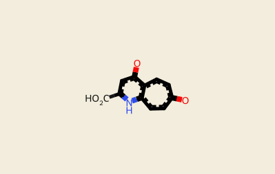 O=C(O)c1cc(=O)c2ccc(=O)ccc2[nH]1